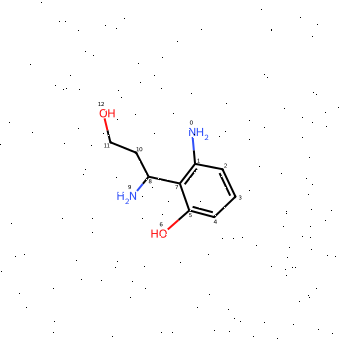 Nc1cccc(O)c1C(N)CCO